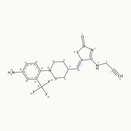 C#CCNC1=NC(=O)S/C1=C\C1CCN(c2ccc(N)cc2C(F)(F)F)CC1